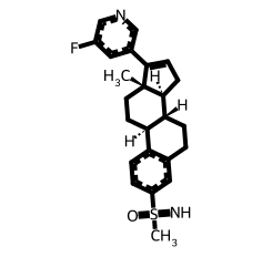 C[C@]12CC[C@@H]3c4ccc(S(C)(=N)=O)cc4CC[C@H]3[C@@H]1CC=C2c1cncc(F)c1